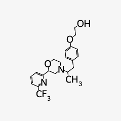 CC(Cc1ccc(OCCO)cc1)N1CCOC(c2cccc(C(F)(F)F)n2)C1